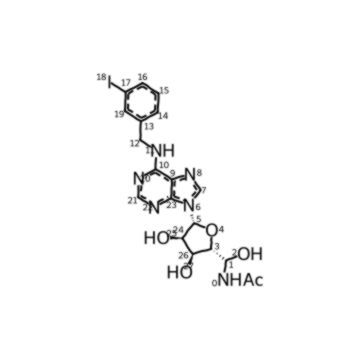 CC(=O)NC(O)[C@H]1O[C@@H](n2cnc3c(NCc4cccc(I)c4)ncnc32)[C@H](O)[C@@H]1O